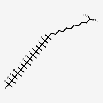 CC(C)CCCCCCCCCCC(F)(F)C(F)(F)C(F)(F)C(F)(F)C(F)(F)C(F)(F)C(F)(F)C(F)(F)C(F)(F)C(F)(F)C(F)(F)C(F)(F)C(F)(F)C(F)(F)F